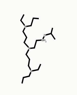 CCCN(CC)CCCN(CCCN(CC)CCC)CC[SiH2]OC(C)C